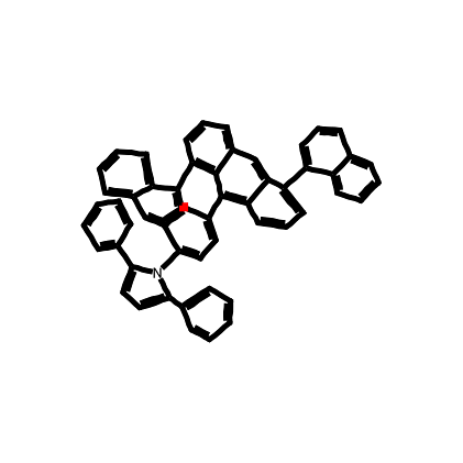 c1ccc(-c2ccc(-c3ccccc3)n2-c2ccc(-c3c4cccc(-c5cccc6ccccc56)c4cc4cccc(-c5cccc6ccccc56)c34)cc2)cc1